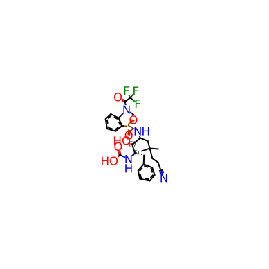 CN(C(=O)C(F)(F)F)c1ccccc1S(=O)(=O)NC(CC(C)(C)CCC#N)[C@H](O)[C@H](Cc1ccccc1)NC(=O)O